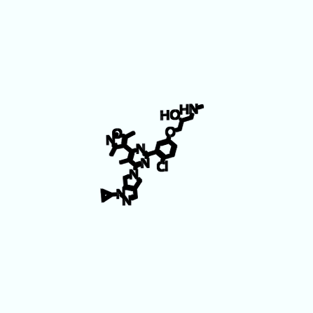 CNC[C@@H](O)COc1ccc(Cl)c(-c2nc(-c3c(C)noc3C)c(C)c(N3Cc4cnn(C5CC5)c4C3)n2)c1